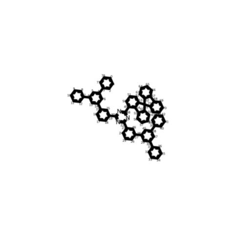 c1ccc(-c2cc(-c3ccccc3)cc(-c3cccc(-c4nc(-c5cccc(-c6cc(-c7ccccc7)cc(-c7ccccc7)c6)c5)nc(-c5cccc6c5-c5ccccc5C65c6ccccc6-c6ccccc65)n4)c3)c2)cc1